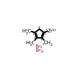 CC1=C(C)C(C)=[C]([Zr+2])C1.[Br-].[Br-]